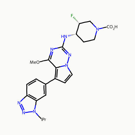 COc1nc(N[C@H]2CCN(C(=O)O)C[C@H]2F)nn2ccc(-c3ccc4nnn(C(C)C)c4c3)c12